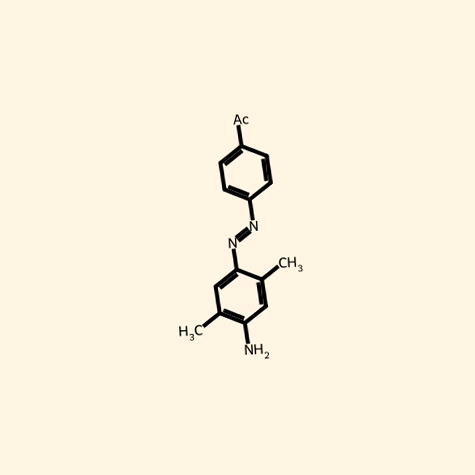 CC(=O)c1ccc(N=Nc2cc(C)c(N)cc2C)cc1